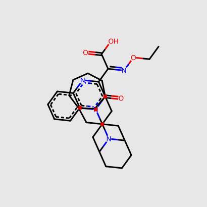 CCO/N=C(\C(=O)O)c1nc2ccccc2n(C2CC3CCCC(C2)N3C2CC3CCCCC(C3)C2)c1=O